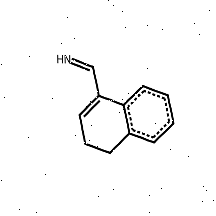 N=CC1=CCCc2ccccc21